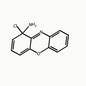 NC1(Cl)C=CC=C2Oc3ccccc3N=C21